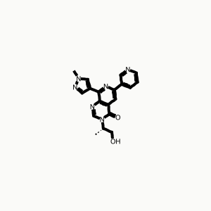 C[C@@H](CO)n1cnc2c(-c3cnn(C)c3)nc(-c3cccnc3)cc2c1=O